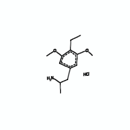 CCc1c(OC)cc(CC(C)N)cc1OC.Cl